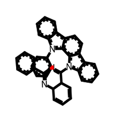 C1=CC2N=C(c3ccccc3)N=C(n3c4ccccc4c4ccc5c6ccccc6n(-c6ccccc6)c5c43)C2C=C1